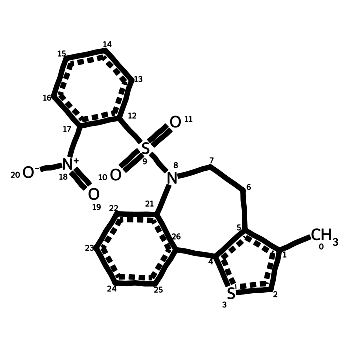 Cc1csc2c1CCN(S(=O)(=O)c1ccccc1[N+](=O)[O-])c1ccccc1-2